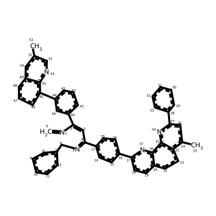 C=N/C(=C\C(=N/Cc1ccccc1)c1ccc(-c2ccc3ccc4c(C)cc(-c5ccccc5)nc4c3n2)cc1)c1cccc(-c2cccc3cc(C)cnc23)c1